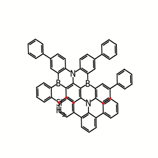 c1ccc(-c2ccc3c(c2)B2c4cc(-c5ccccc5)ccc4N4c5ccc(-c6ccccc6)cc5B5c6ccccc6[SiH2]c6cc(c2c4c65)N3c2c(-c3ccccc3)cccc2-c2ccccc2)cc1